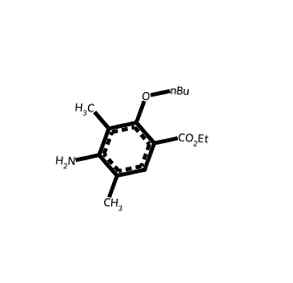 CCCCOc1c(C(=O)OCC)cc(C)c(N)c1C